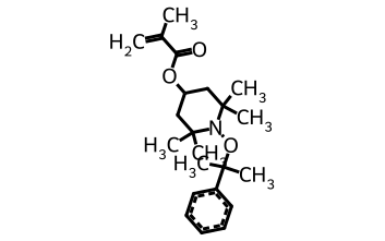 C=C(C)C(=O)OC1CC(C)(C)N(OC(C)(C)c2ccccc2)C(C)(C)C1